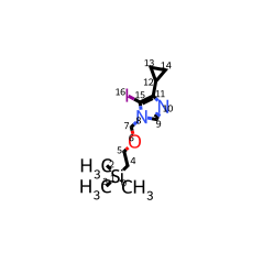 C[Si](C)(C)CCOCn1cnc(C2CC2)c1I